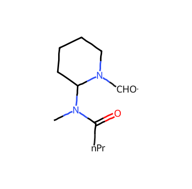 CCCC(=O)N(C)C1CCCCN1[C]=O